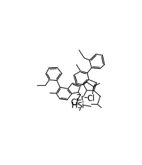 CCc1ccccc1-c1c(C)ccc2c1C=C(CC(C)C)[CH]2[Zr]([Cl])([Cl])([CH]1C(CC(C)C)=Cc2c1ccc(C)c2-c1ccccc1CC)[SiH](C)C